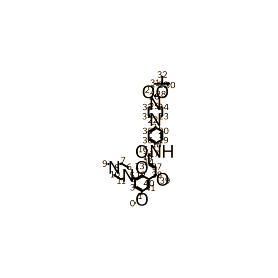 COc1cc(N2CCN(C)CC2)c2oc(C(=O)Nc3ccc(N4CCN(C(=O)OC(C)(C)C)CC4)cc3)cc(=O)c2c1